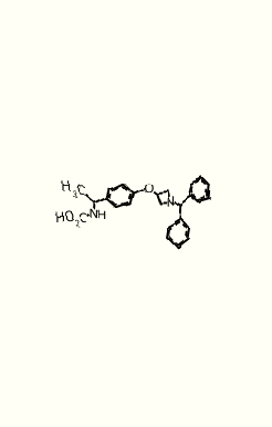 CC(NC(=O)O)c1ccc(OC2CN(C(c3ccccc3)c3ccccc3)C2)cc1